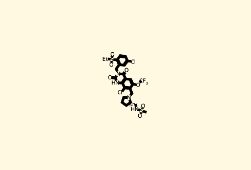 CCS(=O)(=O)c1ccc(Cl)cc1Cn1c(=O)[nH]c2c(Cl)c(CN3CCC[C@H]3CNS(C)(=O)=O)c(OC(F)(F)F)cc2c1=O